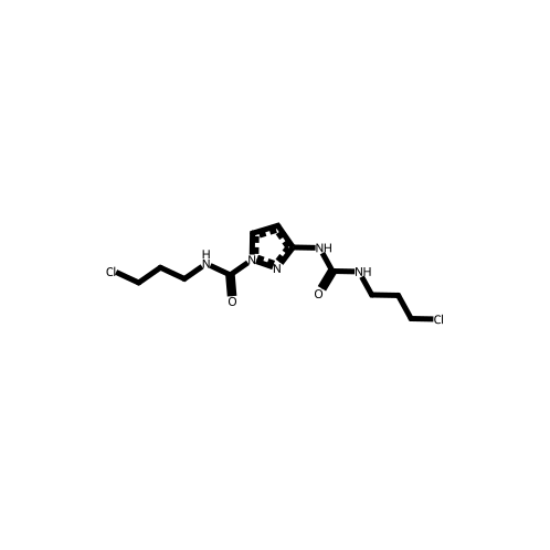 O=C(NCCCCl)Nc1ccn(C(=O)NCCCCl)n1